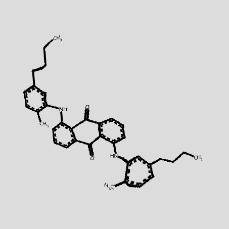 CCCCc1ccc(C)c(Nc2cccc3c2C(=O)c2cccc(Nc4cc(CCCC)ccc4C)c2C3=O)c1